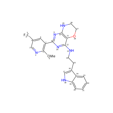 COc1ncc(C(F)(F)F)cc1-c1nc2c(c(NCCc3c[nH]c4ccccc34)n1)OCCN2